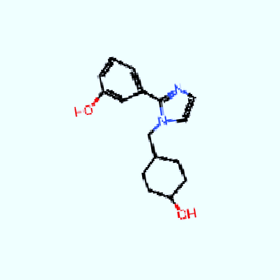 Oc1cccc(-c2nccn2CC2CCC(O)CC2)c1